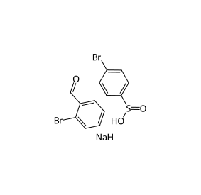 O=Cc1ccccc1Br.O=S(O)c1ccc(Br)cc1.[NaH]